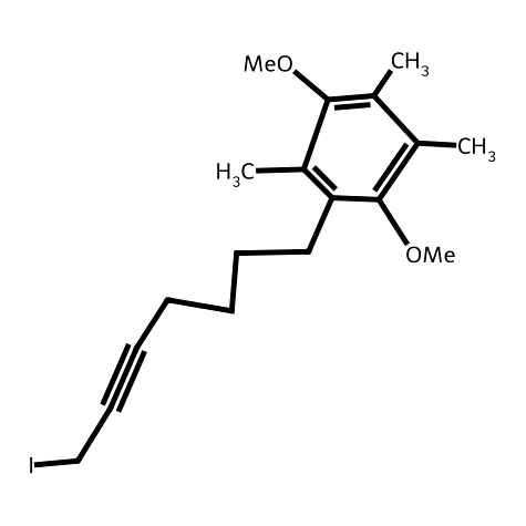 COc1c(C)c(C)c(OC)c(CCCCC#CCI)c1C